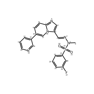 CN(N=Cc1cnc2ccc(-c3cccnc3)cn12)S(=O)(=O)c1cccc(F)c1